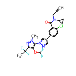 C#CCN(C(=O)c1cc(-c2cnn(-c3c(OC(F)F)c(C(F)(F)C(F)(F)F)nn3C)c2)ccc1Cl)C1CC1